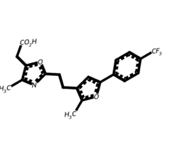 Cc1nc(CCc2cc(-c3ccc(C(F)(F)F)cc3)oc2C)oc1CC(=O)O